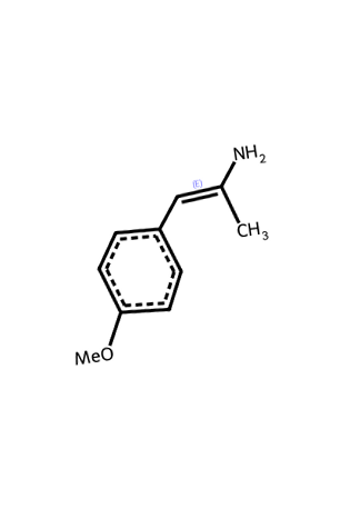 COc1ccc(/C=C(\C)N)cc1